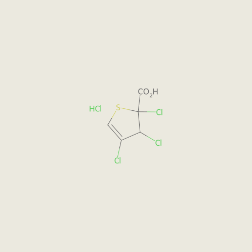 Cl.O=C(O)C1(Cl)SC=C(Cl)C1Cl